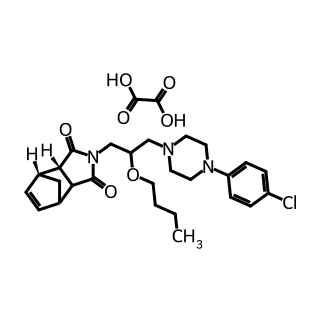 CCCCOC(CN1CCN(c2ccc(Cl)cc2)CC1)CN1C(=O)C2C3C=C[C@@H](C3)[C@@H]2C1=O.O=C(O)C(=O)O